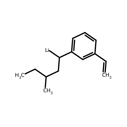 [Li][CH](CC(C)CC)c1cccc(C=C)c1